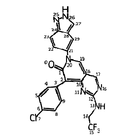 O=c1c(-c2ccc(Cl)cc2)c2nc(NCC(F)(F)F)ncc2cn1-c1ccc2n[nH]cc2c1